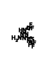 Nc1nc(NC2CC(F)(F)C2)nc(-c2csc(C(F)(F)F)n2)n1